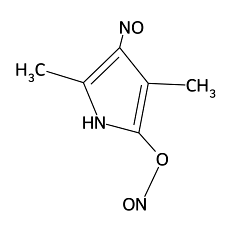 Cc1[nH]c(ON=O)c(C)c1N=O